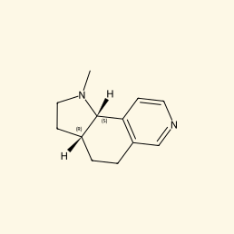 CN1CC[C@H]2CCc3cnccc3[C@H]21